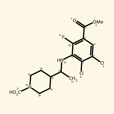 COC(=O)c1cc(Cl)c(Cl)c(NC(C)C2CCN(C(=O)O)CC2)c1F